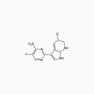 Nc1nc(C2=CNC3NCC(Cl)C=C23)ncc1F